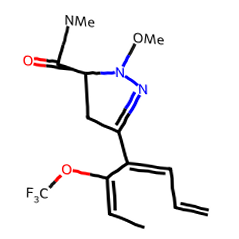 C=C/C=C(C1=NN(OC)C(C(=O)NC)C1)\C(=C/C)OC(F)(F)F